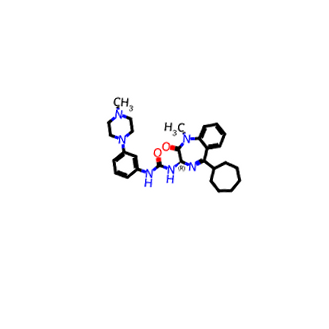 CN1CCN(c2cccc(NC(=O)N[C@@H]3N=C(C4CCCCCC4)c4ccccc4N(C)C3=O)c2)CC1